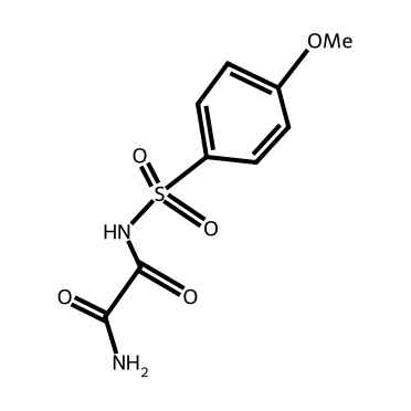 COc1ccc(S(=O)(=O)NC(=O)C(N)=O)cc1